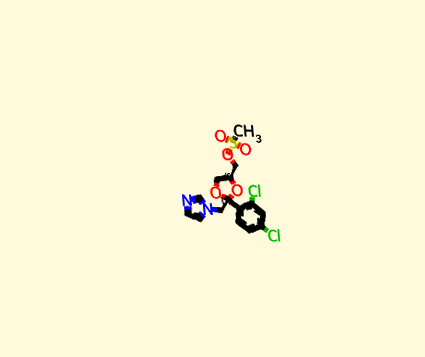 CS(=O)(=O)OC[C@@H]1CO[C@@](Cn2ccnc2)(c2ccc(Cl)cc2Cl)O1